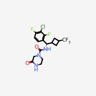 O=C1CN(C(=O)N[C@H](c2ccc(F)c(Cl)c2F)C2CC(C(F)(F)F)C2)CCN1